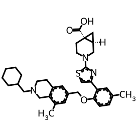 Cc1ccc(OCc2cc(C)c3c(c2)CCN(CC2CCCCC2)C3)c(-c2csc(N3CC[C@@]4(C(=O)O)C[C@H]4C3)n2)c1